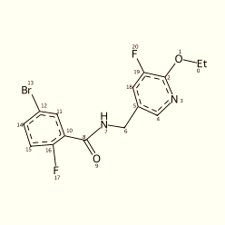 CCOc1ncc(CNC(=O)c2cc(Br)ccc2F)cc1F